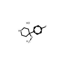 COC1(c2ccc(F)cc2)CCNCC1.Cl